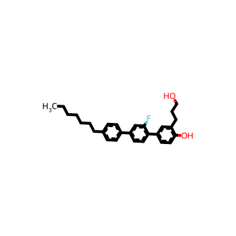 CCCCCCCc1ccc(-c2ccc(-c3ccc(O)c(CCCO)c3)c(F)c2)cc1